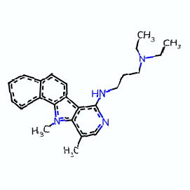 CCN(CC)CCCNc1ncc(C)c2c1c1ccc3ccccc3c1n2C